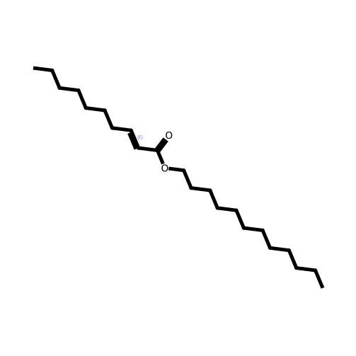 CCCCCCC/C=C/C(=O)OCCCCCCCCCCCC